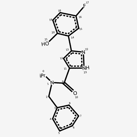 CC(C)N(Cc1ccccc1)C(=O)c1cc(-c2cc(F)ccc2O)n[nH]1